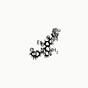 CCOc1cc(C(=O)Nc2cn(C(C)(C)C)nn2)c(F)cc1-c1nc([C@@H]2CC[C@H]3CCC(=O)N3C2)n2ccnc(N)c12